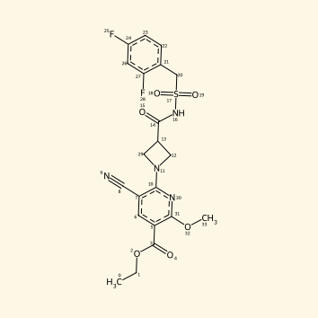 CCOC(=O)c1cc(C#N)c(N2CC(C(=O)NS(=O)(=O)Cc3ccc(F)cc3F)C2)nc1OC